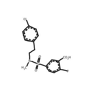 CN(CCc1ccc(Cl)cc1)S(=O)(=O)c1ccc(F)c(C(=O)O)c1